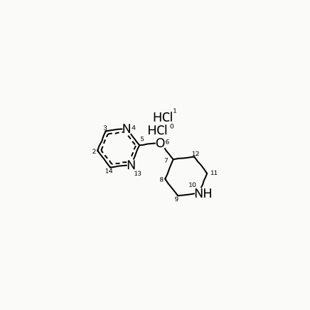 Cl.Cl.c1cnc(OC2CCNCC2)nc1